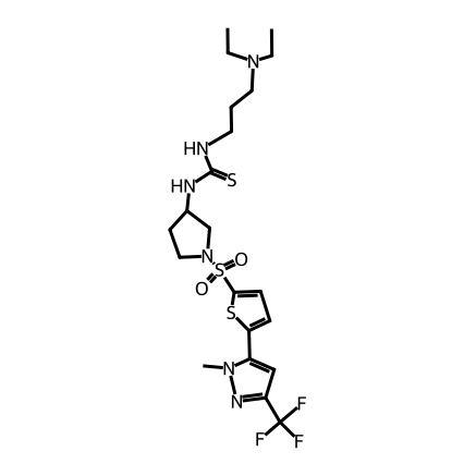 CCN(CC)CCCNC(=S)NC1CCN(S(=O)(=O)c2ccc(-c3cc(C(F)(F)F)nn3C)s2)C1